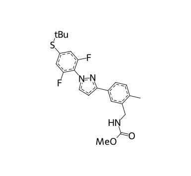 COC(=O)NCc1cc(-c2ccn(-c3c(F)cc(SC(C)(C)C)cc3F)n2)ccc1C